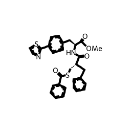 COC(=O)[C@H](Cc1ccc(-c2nccs2)cc1)NC(=O)[C@@H](CSC(=O)c1ccccc1)Cc1ccccc1